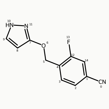 N#Cc1ccc(COc2cc[nH]n2)c(F)c1